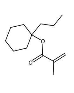 C=C(C)C(=O)OC1(CCC)CCCCC1